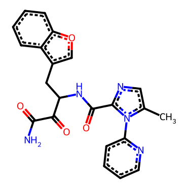 Cc1cnc(C(=O)NC(Cc2coc3ccccc23)C(=O)C(N)=O)n1-c1ccccn1